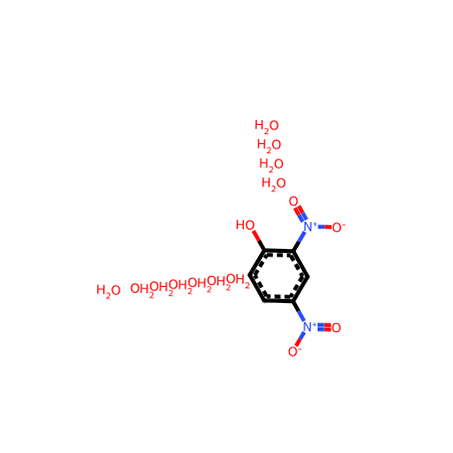 O.O.O.O.O.O.O.O.O.O.O.O=[N+]([O-])c1ccc(O)c([N+](=O)[O-])c1